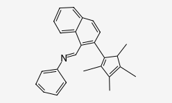 CC1=C(C)C(C)C(c2ccc3ccccc3c2C=Nc2ccccc2)=C1C